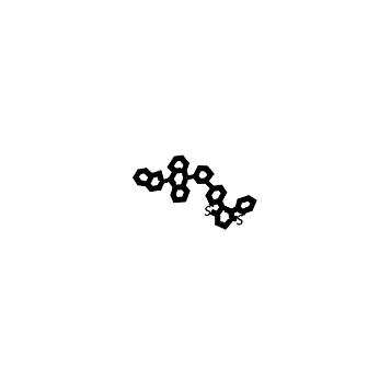 c1cc(-c2ccc3c(c2)sc2ccc4sc5ccccc5c4c23)cc(-c2c3ccccc3c(-c3ccc4ccccc4c3)c3ccccc23)c1